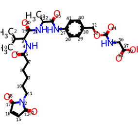 CC(C)[C@H](NC(=O)CCCCCN1C(=O)C=CC1=O)C(=O)N[C@@H](C)C(=O)Nc1ccc(COC(=O)NCC(=O)O)cc1